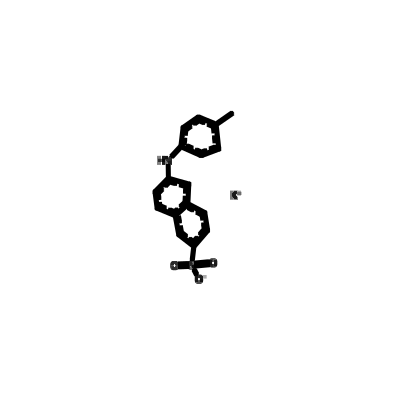 Cc1ccc(Nc2ccc3cc(S(=O)(=O)[O-])ccc3c2)cc1.[K+]